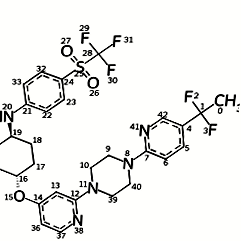 CC(F)(F)c1ccc(N2CCN(c3cc(O[C@H]4CC[C@H](Nc5ccc(S(=O)(=O)C(F)(F)F)cc5)CC4)ccn3)CC2)nc1